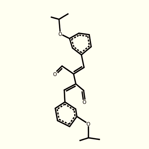 CC(C)Oc1cccc(C=C(C=O)C(C=O)=Cc2cccc(OC(C)C)c2)c1